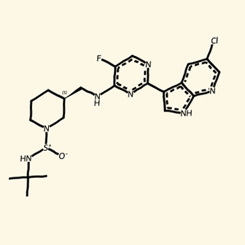 CC(C)(C)N[S+]([O-])N1CCC[C@@H](CNc2nc(-c3c[nH]c4ncc(Cl)cc34)ncc2F)C1